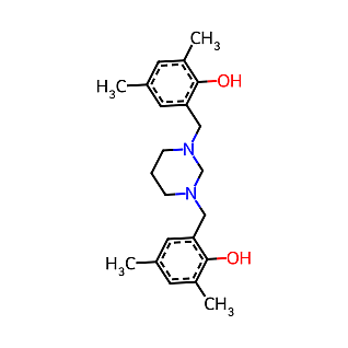 Cc1cc(C)c(O)c(CN2CCCN(Cc3cc(C)cc(C)c3O)C2)c1